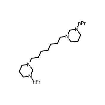 CCCN1CCCN(CCCCCCCN2CCCN(CCC)C2)C1